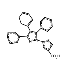 O=C(O)c1csc(-n2nc(-c3ccccc3)c(C3=CC=CCC3)c2-c2ccccc2)n1